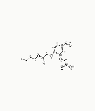 CCCCOC(=O)COc1ccc(C=O)cc1OCC(=O)O